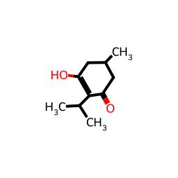 CC1CC(=O)C(C(C)C)=C(O)C1